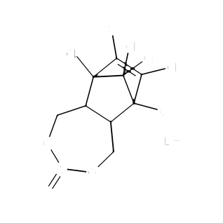 O=S1OCC2C(CO1)C1(Cl)C(Cl)=C(Cl)C2(Cl)C1(Cl)Cl.[LiH]